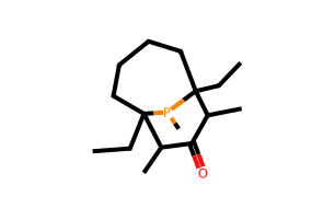 CCC12CCCCC(CC)(C(C)C(=O)C1C)P2C